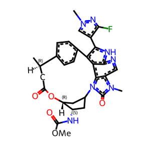 COC(=O)N[C@H]1CC2C[C@H]1OC(=O)C[C@@H](C)c1ccc(cc1)-c1c(-c3cn(C)nc3F)[nH]c3ncc4c(c13)n2c(=O)n4C